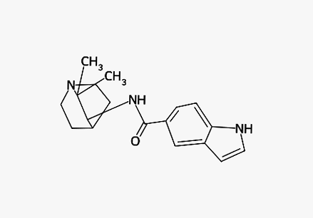 CC1(C)C(NC(=O)c2ccc3[nH]ccc3c2)C2CCN1CC2